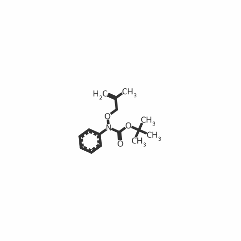 C=C(C)CON(C(=O)OC(C)(C)C)c1ccccc1